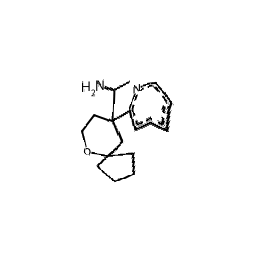 CC(N)C1(c2ccccn2)CCOC2(CCCC2)C1